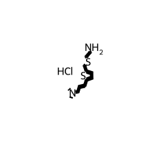 CN(C)CC=Cc1ccc(CSCCN)s1.Cl